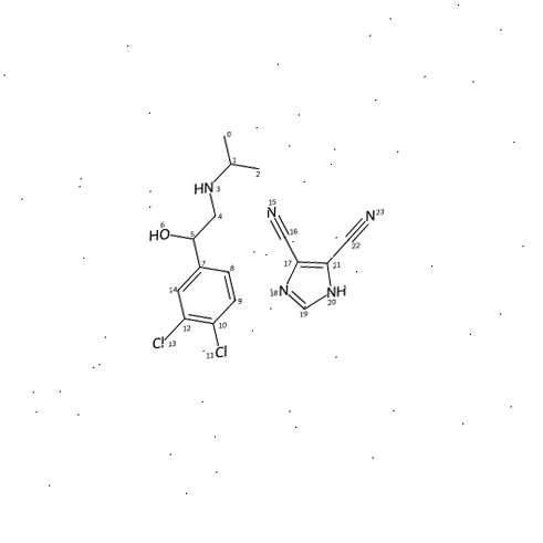 CC(C)NCC(O)c1ccc(Cl)c(Cl)c1.N#Cc1nc[nH]c1C#N